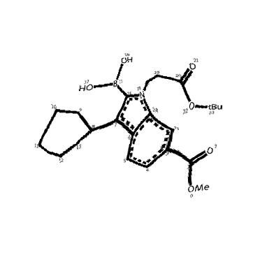 COC(=O)c1ccc2c(C3CCCCC3)c(B(O)O)n(CC(=O)OC(C)(C)C)c2c1